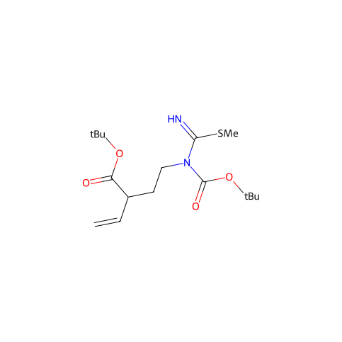 C=CC(CCN(C(=N)SC)C(=O)OC(C)(C)C)C(=O)OC(C)(C)C